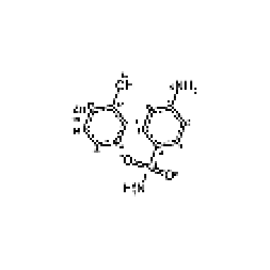 Nc1ccc(S(N)(=O)=O)cc1.Oc1ccccc1.[Zn]